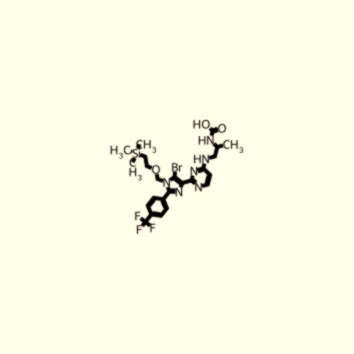 CC(CNc1ccnc(-c2nc(-c3ccc(C(F)(F)F)cc3)n(COCC[Si](C)(C)C)c2Br)n1)NC(=O)O